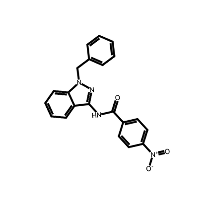 O=C(Nc1nn(Cc2ccccc2)c2ccccc12)c1ccc([N+](=O)[O-])cc1